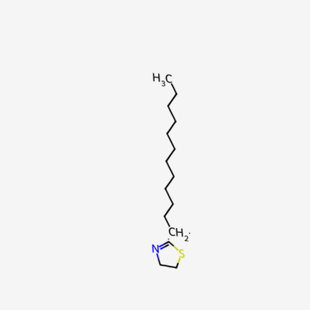 [CH2]CCCCCCCCCCC.[C]1=NCCS1